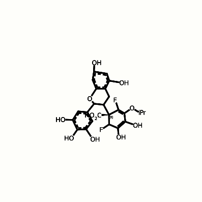 CC(C)OC1=C(F)[C@@](C(=O)O)(C2Cc3c(O)cc(O)cc3OC2c2cc(O)c(O)c(O)c2)C(F)C(O)=C1O